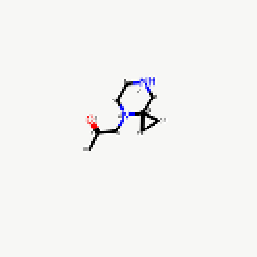 CC(=O)CN1CCNCC12CC2